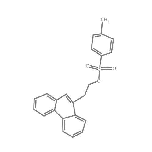 Cc1ccc(S(=O)(=O)OCCc2cc3ccccc3c3ccccc23)cc1